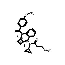 O=C(O)CCC(=O)N(C1CC1)[C@H]1c2ccccc2N(C(=O)c2ccc(OC(F)(F)F)cc2)[C@@H]2CC[C@@H]21